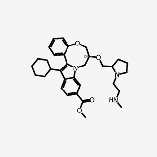 CNCCN1CCCC1CO[C@@H]1COc2ccccc2-c2c(C3CCCCC3)c3ccc(C(=O)OC)cc3n2C1